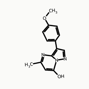 COc1ccc(-c2cnn3c(O)cc(C)nc23)cc1